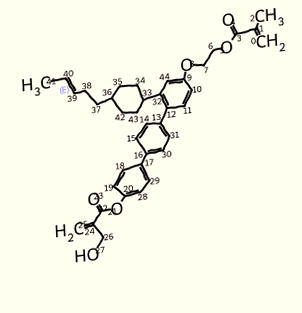 C=C(C)C(=O)OCCOc1ccc(-c2ccc(-c3ccc(OC(=O)C(=C)CO)cc3)cc2)c(C2CCC(CC/C=C/C)CC2)c1